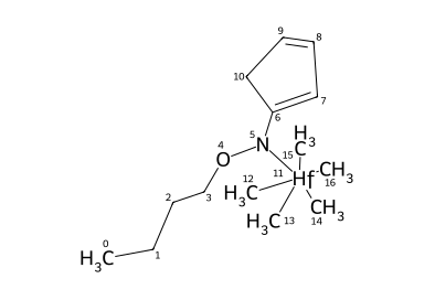 CCCCO[N](C1=CC=CC1)[Hf]([CH3])([CH3])([CH3])([CH3])[CH3]